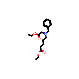 CCOC(=O)CCCCN(CC(=O)OCC)Cc1ccccc1